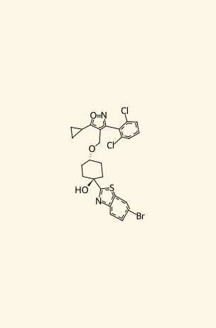 O[C@]1(c2nc3ccc(Br)cc3s2)CC[C@@H](OCc2c(-c3c(Cl)cccc3Cl)noc2C2CC2)CC1